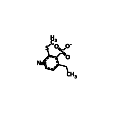 CCc1cccc(SC)c1S(=O)(=O)[O-].[Na+]